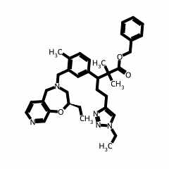 CC[C@@H]1CN(Cc2cc(C(CCc3cn(CC)nn3)C(C)(C)C(=O)OCc3ccccc3)ccc2C)Cc2ccncc2O1